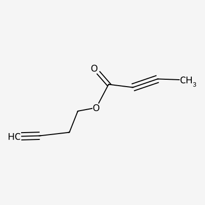 C#CCCOC(=O)C#CC